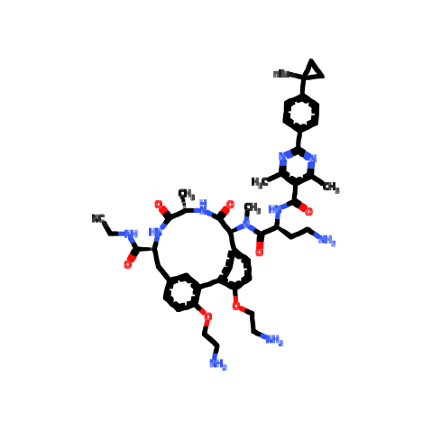 CCCCC1(c2ccc(-c3nc(C)c(C(=O)N[C@@H](CCN)C(=O)N(C)[C@@H]4C(=O)N[C@@H](C)C(=O)N[C@H](C(=O)NCC#N)Cc5ccc(OCCN)c(c5)-c5cc4ccc5OCCN)c(C)n3)cc2)CC1